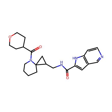 O=C(NCC1CC12CCCCN2C(=O)C1CCOCC1)c1cc2cnccc2[nH]1